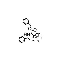 C[C@H](N[C@@H](C(=O)OCc1ccccc1)C(C(F)(F)F)C(F)(F)F)c1ccccc1